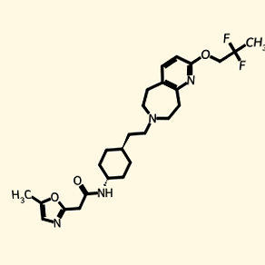 Cc1cnc(CC(=O)N[C@H]2CC[C@H](CCN3CCc4ccc(OCC(C)(F)F)nc4CC3)CC2)o1